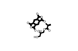 C=C(C)C(=O)OCC(O)CO.O=c1oc(=O)c2cc3c(=O)oc(=O)c3cc12